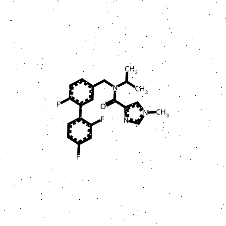 CC(C)N(Cc1ccc(F)c(-c2ccc(F)cc2F)c1)C(=O)c1cn(C)cn1